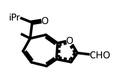 CC(C)C(=O)C1(C)C=CC=c2cc(C=O)oc2=C1